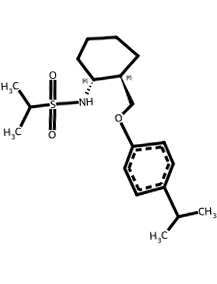 CC(C)c1ccc(OC[C@@H]2CCCC[C@H]2NS(=O)(=O)C(C)C)cc1